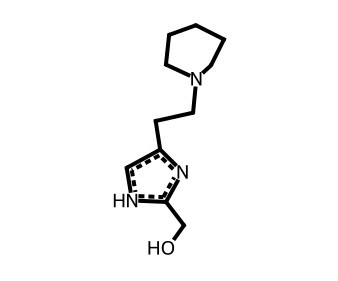 OCc1nc(CCN2CCCCC2)c[nH]1